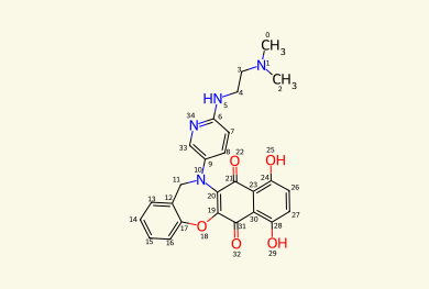 CN(C)CCNc1ccc(N2Cc3ccccc3OC3=C2C(=O)c2c(O)ccc(O)c2C3=O)cn1